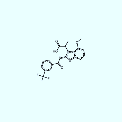 COc1cccc2s/c(=N\C(=O)c3cccc(C(F)(F)F)c3)n(C(C)C(=O)O)c12